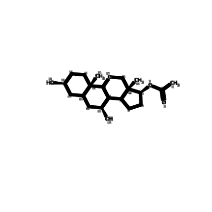 CC(=O)O[C@H]1CCC2C3C(OC[C@@]21C)[C@@]1(C)CC[C@H](O)CC1C[C@@H]3O